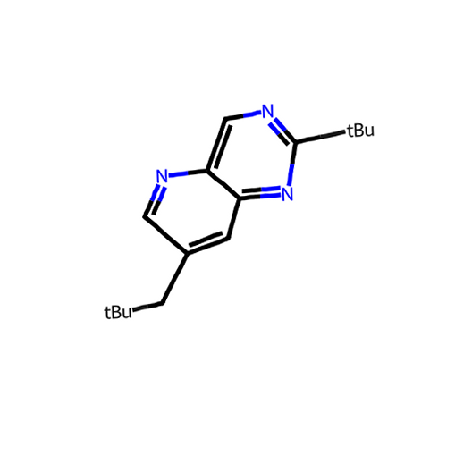 CC(C)(C)Cc1cnc2cnc(C(C)(C)C)nc2c1